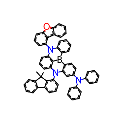 CC1(C)c2ccccc2-c2cccc(N3c4cc(N(c5ccccc5)c5ccccc5)ccc4B4c5ccccc5N(c5cccc6oc7ccccc7c56)c5cccc3c54)c21